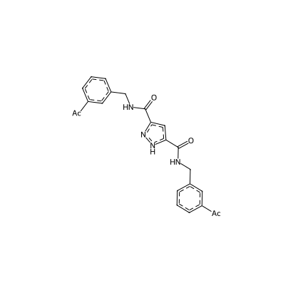 CC(=O)c1cccc(CNC(=O)c2cc(C(=O)NCc3cccc(C(C)=O)c3)[nH]n2)c1